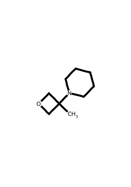 CC1(N2CC[CH]CC2)COC1